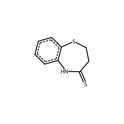 S=C1CCSc2ccccc2N1